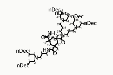 CCCCCCCCCCCCN(CCCCCCCCCCCC)CCCNC(=O)C1(C)CC(C)(C(N)=O)CC(C)(C(=O)N(CCCN(CCCCCCCCCCCC)CCCCCCCCCCCC)CCCN(CCCCCCCCCCCC)CCCCCCCCCCCC)C1